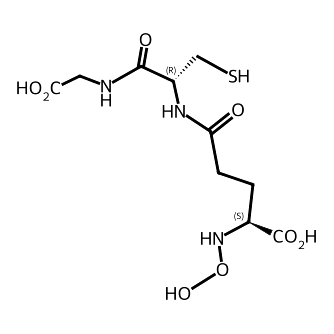 O=C(O)CNC(=O)[C@H](CS)NC(=O)CC[C@H](NOO)C(=O)O